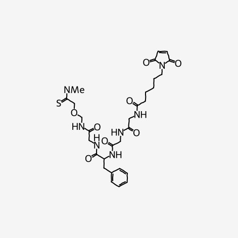 CNC(=S)COCNC(=O)CNC(=O)C(Cc1ccccc1)NC(=O)CNC(=O)CNC(=O)CCCCCN1C(=O)C=CC1=O